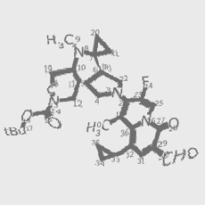 Cc1c(N2CC[C@@H](C3(N(C)C4CCN(C(=O)OC(C)(C)C)CC4)CC3)C2)c(F)cn2c(=O)c(C=O)cc(C3CC3)c12